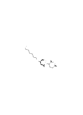 O=C1CCC(n2ncc(OCCCCCCO)cc2=O)C(=O)N1